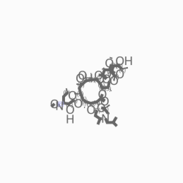 CO/N=C1\C[C@@H](C)O[C@@H](O[C@@H]2[C@@H](C)[C@H](O[C@H]3CC(C)N(CC(C)C)C[C@H](C)O3)[C@@H](C)C(=O)O[C@H]([C@@H](C)CO[C@@H]3O[C@H](C)[C@@H](O)[C@@H](OC)[C@H]3OC)[C@H](C)[C@@H](OC(=O)CC(C)C)[C@@H](C)C(=O)[C@@](C)(O)C[C@@H]2C)[C@@H]1O